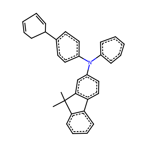 CC1(C)c2ccccc2-c2ccc(N(c3ccccc3)c3ccc(C4C=CC=CC4)cc3)cc21